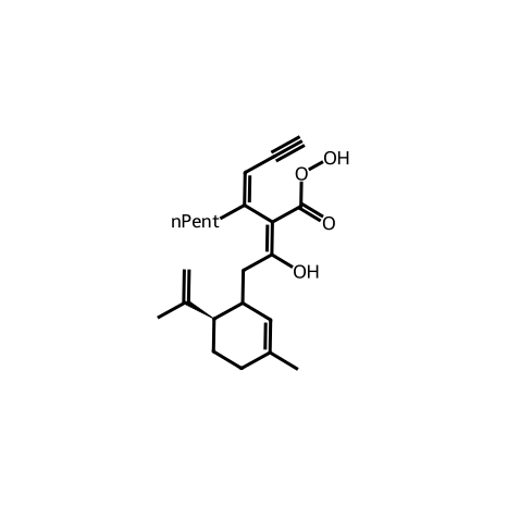 C#C/C=C(CCCCC)\C(C(=O)OO)=C(\O)CC1C=C(C)CC[C@H]1C(=C)C